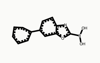 OB(O)c1nc2ccc(-c3ccccc3)cc2o1